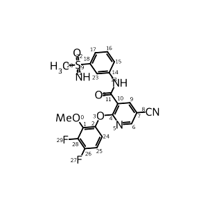 COc1c(Oc2ncc(C#N)cc2C(=O)Nc2cccc(S(C)(=N)=O)c2)ccc(F)c1F